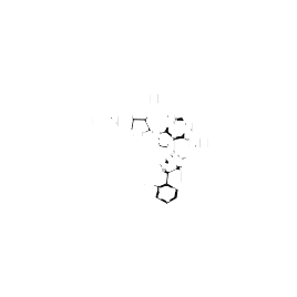 NC[C@H]1O[C@@H](N2CN(S(=O)(=O)C(F)(F)C(=O)c3ccccc3O)c3c(N)ncnc32)C(O)C1O